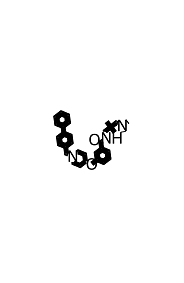 CN(C)CC(C)(C)CNC(=O)c1cccc(OC2CCN(Cc3ccc(-c4ccccc4)cc3)CC2)c1